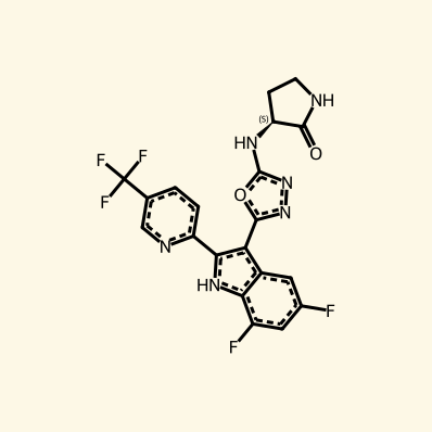 O=C1NCC[C@@H]1Nc1nnc(-c2c(-c3ccc(C(F)(F)F)cn3)[nH]c3c(F)cc(F)cc23)o1